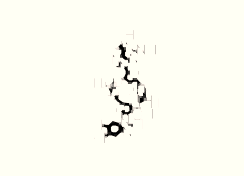 Nc1nc2c(ncn2C2OC3COP(=O)(O)OC4C(COP(=O)(O)OC2C3O)OC(n2c(Cl)nc3cc(Cl)c(Cl)cc32)C4O)c(=O)[nH]1